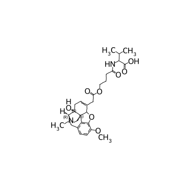 COc1ccc2c3c1OC1C(CC(=O)OCCCC(=O)NC(C(=O)O)C(C)C)=CC[C@@]4(O)[C@@H](C2)N(C)CC[C@]314